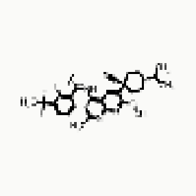 COc1nc2nc(C)nc(N[C@H](C)c3cccc(C(C)(F)F)c3F)c2cc1C1(C#N)CCN(C(C)C)CC1